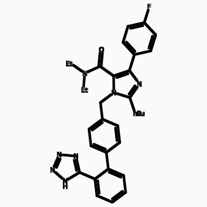 CCCCc1nc(-c2ccc(F)cc2)c(C(=O)N(CC)CC)n1Cc1ccc(-c2ccccc2-c2nnn[nH]2)cc1